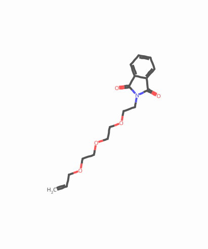 C=CCOCCOCCOCCN1C(=O)c2ccccc2C1=O